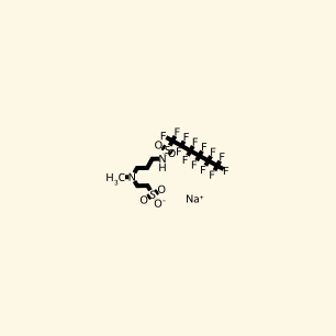 CN(CCCNS(=O)(=O)C(F)(F)C(F)(F)C(F)(F)C(F)(F)C(F)(F)C(F)(F)F)CCS(=O)(=O)[O-].[Na+]